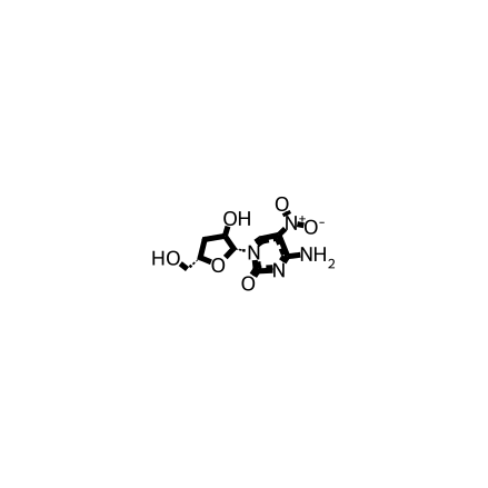 Nc1nc(=O)n([C@@H]2O[C@H](CO)CC2O)cc1[N+](=O)[O-]